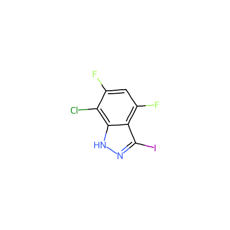 Fc1cc(F)c2c(I)n[nH]c2c1Cl